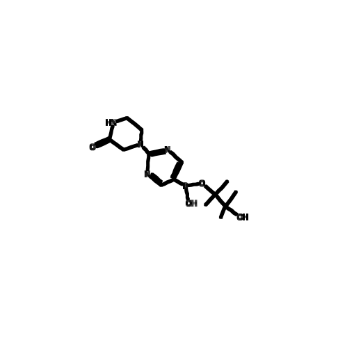 CC(C)(O)C(C)(C)OB(O)c1cnc(N2CCNC(=O)C2)nc1